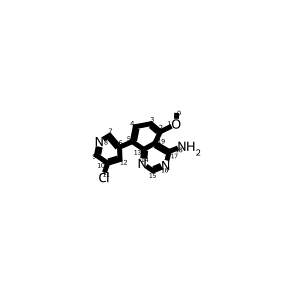 COc1ccc(-c2cncc(Cl)c2)c2ncnc(N)c12